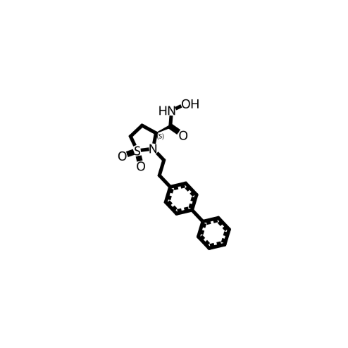 O=C(NO)[C@@H]1CCS(=O)(=O)N1CCc1ccc(-c2ccccc2)cc1